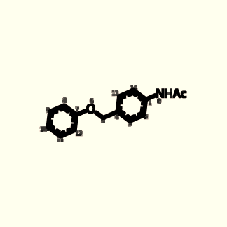 CC(=O)Nc1ccc(COc2cc[c]cc2)cc1